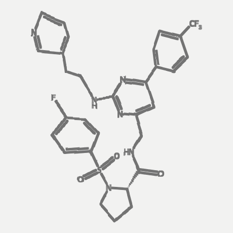 O=C(NCc1cc(-c2ccc(C(F)(F)F)cc2)nc(NCCc2cccnc2)n1)[C@@H]1CCCN1S(=O)(=O)c1ccc(F)cc1